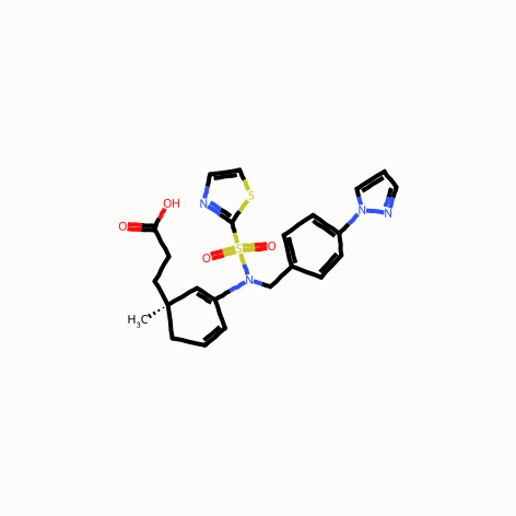 C[C@]1(CCC(=O)O)C=C(N(Cc2ccc(-n3cccn3)cc2)S(=O)(=O)c2nccs2)C=CC1